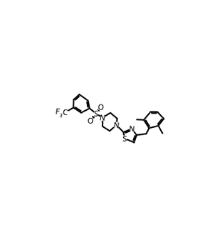 Cc1cccc(C)c1Cc1csc(N2CCN(S(=O)(=O)c3cccc(C(F)(F)F)c3)CC2)n1